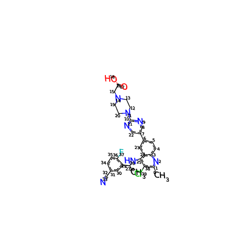 Cc1nc2ccc(-c3cnc(N4CCN(CC(=O)O)CC4)nc3)cc2c(NC(C)c2cc(C#N)ccc2F)c1Cl